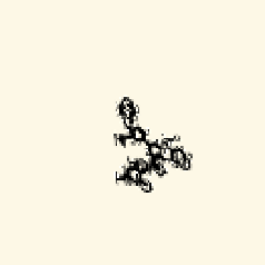 CCN(c1cc(-c2ccc(CN3CCOCC3)c(C#N)c2)cc(C(=O)NCc2c(C)cc(C)[nH]c2=O)c1C)C1CCOCC1